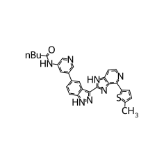 CCCCC(=O)Nc1cncc(-c2ccc3[nH]nc(-c4nc5c(-c6ccc(C)s6)nccc5[nH]4)c3c2)c1